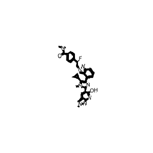 CN(C)C(=O)c1ccc([C@@H](F)Cn2cc3c(-c4nc(-c5cc6cn(C)nc6nc5O)n(C)c4C4CC4)cccc3n2)cc1